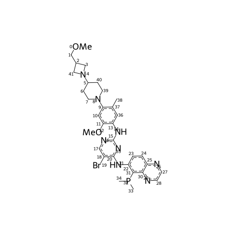 COCC1CN(C2CCN(c3cc(OC)c(Nc4ncc(Br)c(Nc5ccc6nccnc6c5P(C)C)n4)cc3C)CC2)C1